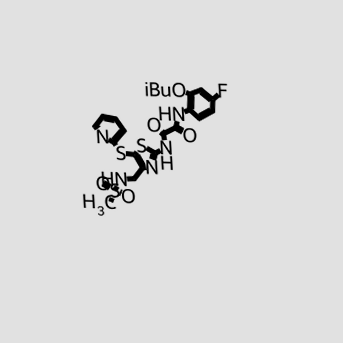 CC(C)COc1cc(F)ccc1NC(=O)C(=O)Nc1nc(CNS(C)(=O)=O)c(Sc2ccccn2)s1